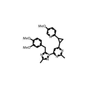 COc1ccc(C2CC2c2cc(-n3nc(C)nc3Cc3ccc(OC)c(OC)c3)nc(C)n2)nc1